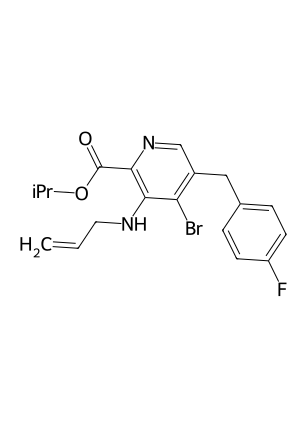 C=CCNc1c(C(=O)OC(C)C)ncc(Cc2ccc(F)cc2)c1Br